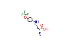 N#CC(=CCCNc1ccc(OC(F)(F)F)cc1)C(=O)O